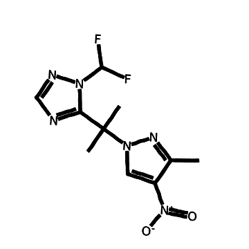 Cc1nn(C(C)(C)c2ncnn2C(F)F)cc1[N+](=O)[O-]